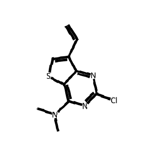 C=Cc1csc2c(N(C)C)nc(Cl)nc12